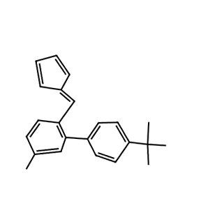 Cc1ccc(C=C2C=CC=C2)c(-c2ccc(C(C)(C)C)cc2)c1